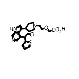 O=C(O)COCCN1CCC(c2c[nH]c3cncc(C(CCl)c4cccs4)c23)CC1